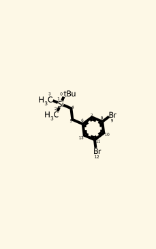 CC(C)(C)[Si](C)(C)CCc1cc(Br)cc(Br)c1